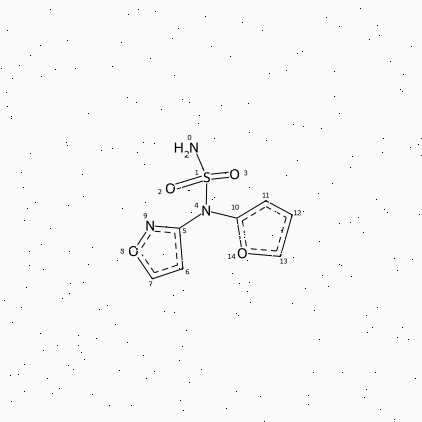 NS(=O)(=O)N(c1ccon1)c1ccco1